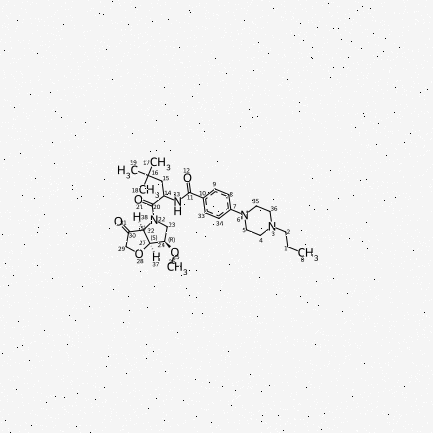 CCCN1CCN(c2ccc(C(=O)NC(CC(C)(C)C)C(=O)N3C[C@@H](OC)[C@H]4OCC(=O)[C@H]43)cc2)CC1